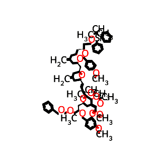 C=C1CC(C[C@H](CCO[Si](c2ccccc2)(c2ccccc2)C(C)(C)C)OCc2ccc(OC)cc2)O[C@@H](C[C@@H]2CC(=C)C[C@H](/C=C/C(C)(C)[C@]3(OC)O[C@H](C[C@@H](OCc4ccc(OC)cc4)[C@@H](C)OCOCc4ccccc4)C/C(=C\C(=O)OC)[C@@H]3OC(C)=O)O2)C1